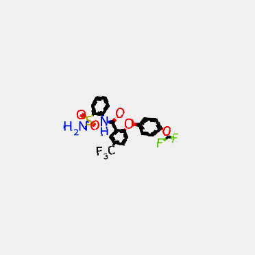 NS(=O)(=O)c1ccccc1NC(=O)c1cc(C(F)(F)F)ccc1Oc1ccc(OC(F)F)cc1